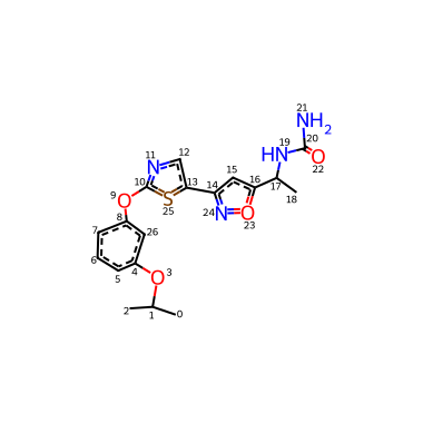 CC(C)Oc1cccc(Oc2ncc(-c3cc(C(C)NC(N)=O)on3)s2)c1